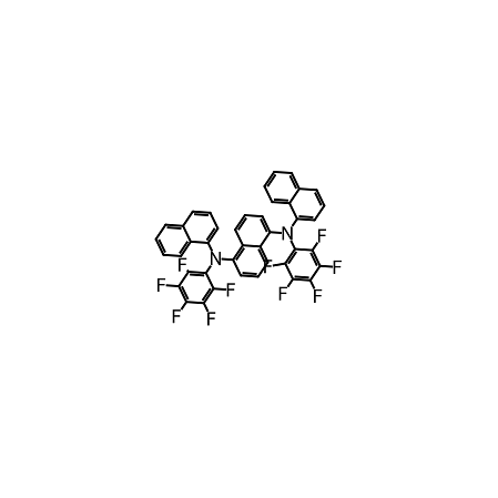 Fc1c(F)c(F)c(N(c2cccc3ccccc23)c2cccc3c(N(c4c(F)c(F)c(F)c(F)c4F)c4cccc5ccccc45)cccc23)c(F)c1F